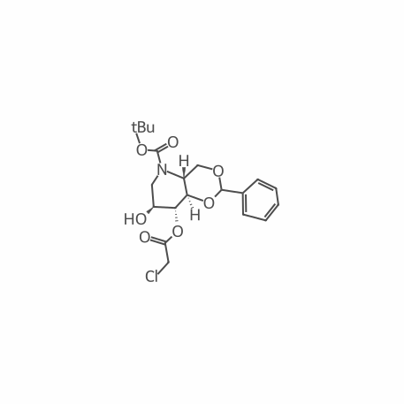 CC(C)(C)OC(=O)N1C[C@H](O)[C@@H](OC(=O)CCl)[C@@H]2OC(c3ccccc3)OC[C@H]21